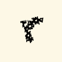 CC(C)C[C@H]1CN(c2ccc(C(F)(F)F)nc2)C(=O)N1CC(=O)Nc1ccc(Cl)nc1